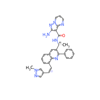 C[C@@H](NC(=O)c1c(N)nn2cccnc12)c1cc2cccc(/C=C\c3cnn(C)c3)c2nc1-c1ccccc1